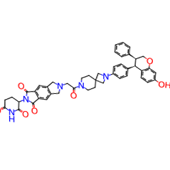 O=C1CCC(N2C(=O)c3cc4c(cc3C2=O)CN(CC(=O)N2CCC3(CC2)CN(c2ccc([C@@H]5c6ccc(O)cc6OC[C@@H]5c5ccccc5)cc2)C3)C4)C(=O)N1